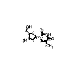 Cc1cn([C@H]2C[C@H](N)[C@@H]([CH]O)O2)c(=O)[nH]c1=O